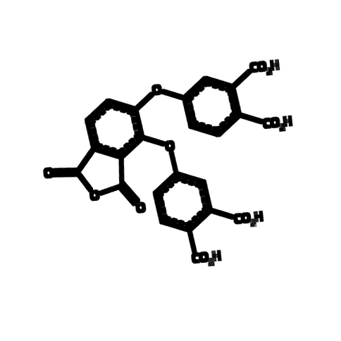 O=C(O)c1ccc(Oc2ccc3c(c2Oc2ccc(C(=O)O)c(C(=O)O)c2)C(=O)OC3=O)cc1C(=O)O